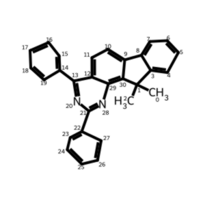 CC1(C)c2ccccc2-c2ccc3c(-c4ccccc4)nc(-c4ccccc4)nc3c21